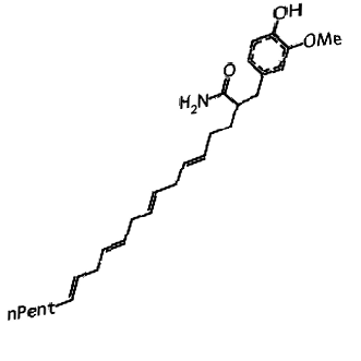 CCCCCC=CCC=CCC=CCC=CCCC(Cc1ccc(O)c(OC)c1)C(N)=O